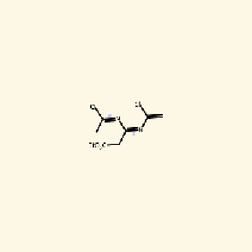 C=C(Cl)/N=C(CC(=O)OCC)\N=C(/C)Cl